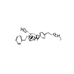 COCCc1ccc(OCC(CO)N(O)CCc2ccccc2)cc1